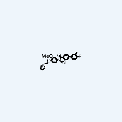 COc1cc(-n2cnc3cc(-c4ccc(F)c(C)c4)ccc3c2=O)ccc1OCCN1CCCC1